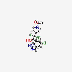 CCC(=O)N1CCC(C(F)(F)C(O)c2c(F)c(Cl)cc3cn[nH]c23)CC1